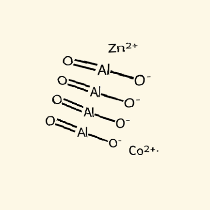 [Co+2].[O]=[Al][O-].[O]=[Al][O-].[O]=[Al][O-].[O]=[Al][O-].[Zn+2]